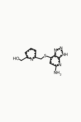 Nc1cc(SCc2cccc(CO)n2)c2nn[nH]c2n1